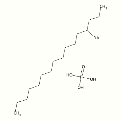 CCCCCCCCCCCC[CH]([Na])CCC.O=P(O)(O)O